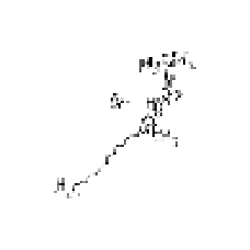 CCCCCCCCCCCCCCOc1ccc(CC(=O)Nc2ccccc2C[n+]2ccc(C)c(C)c2)cc1OC.[Br-]